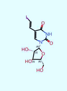 O=c1[nH]c(=O)n([C@@H]2O[C@H](CO)[C@@H](O)[C@@H]2O)cc1C=CI